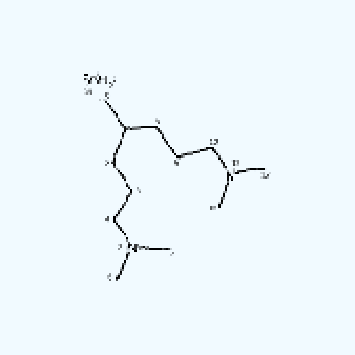 [CH2]C(CCCN(C)C)CCCN(C)C.[SnH2]